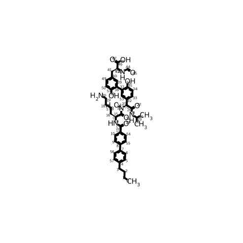 CCCCc1ccc(-c2ccc(C(=O)N[C@@H](CCCCN)C(=O)N(C)[C@H](C(=O)NC(C)C)c3ccc(O)c(-c4cc(C[C@H](NC=O)C(=O)O)ccc4O)c3)cc2)cc1